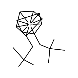 CC(C)(C)C[C]12[CH]3[CH]4[CH]5[CH]1[Fe]45321678[CH]2[CH]1[CH]6[C]7(CC(C)(C)C)[CH]28